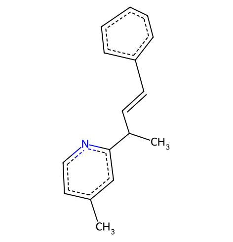 Cc1ccnc(C(C)/C=C/c2ccccc2)c1